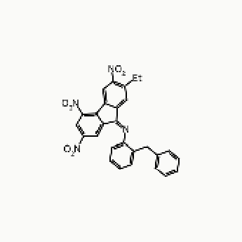 CCc1cc2c(cc1[N+](=O)[O-])-c1c(cc([N+](=O)[O-])cc1[N+](=O)[O-])C2=Nc1ccccc1Cc1ccccc1